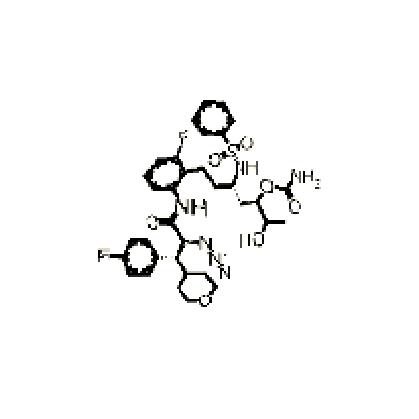 CC(O)[C@@H](C[C@H](CCc1c(F)cccc1NC(=O)[C@@H](N=[N+]=[N-])[C@@H](c1ccc(F)cc1)C1CCOCC1)NS(=O)(=O)c1ccccc1)OC(N)=O